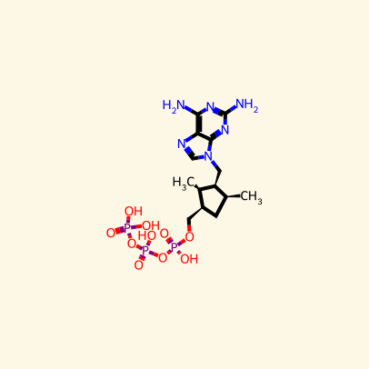 C[C@@H]1[C@H](COP(=O)(O)OP(=O)(O)OP(=O)(O)O)C[C@H](C)[C@@H]1Cn1cnc2c(N)nc(N)nc21